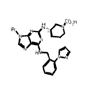 CC(C)n1cnc2c(NCc3ccccc3-n3cccn3)nc(N[C@H]3CCCN(C(=O)O)C3)nc21